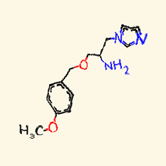 COc1ccc(COCC(N)Cn2ccnc2)cc1